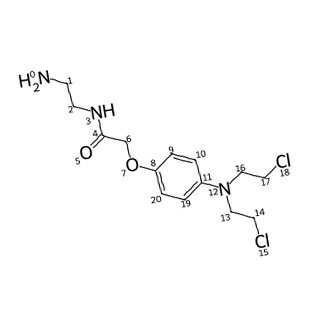 NCCNC(=O)COc1ccc(N(CCCl)CCCl)cc1